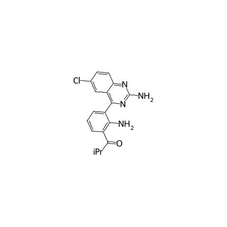 CC(C)C(=O)c1cccc(-c2nc(N)nc3ccc(Cl)cc23)c1N